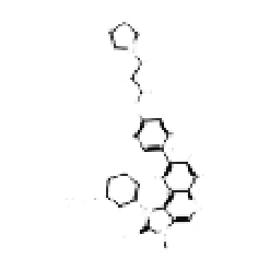 CO[C@@H]1CCC[C@@H](n2c(=O)n(C)c3cnc4ccc(-c5ccc(OCCCN6CCCC6)cc5)cc4c32)C1